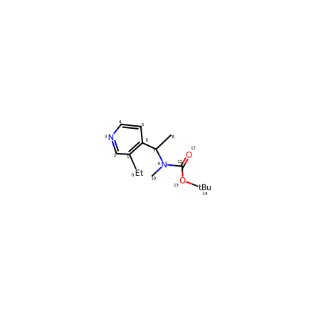 CCc1cnccc1C(C)N(C)C(=O)OC(C)(C)C